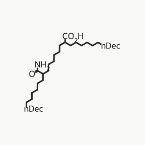 CCCCCCCCCCCCCCCCC(CCCCCCC(CCCCCCCCCCCCCCCC)C(=O)O)C(N)=O